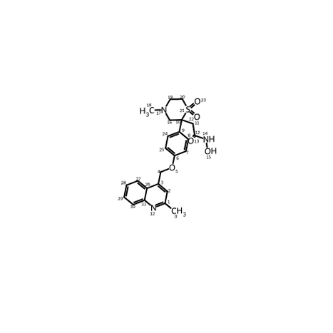 Cc1cc(COc2ccc(C3(CC(=O)NO)CN(C)CCS3(=O)=O)cc2)c2ccccc2n1